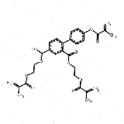 C=C(C)C(=O)OCCOC(=O)c1cc(C(O)OCCOC(=O)C(=C)C)ccc1-c1ccc(OC(=O)C(=C)C)cc1